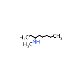 CCCCCC(CC)NC